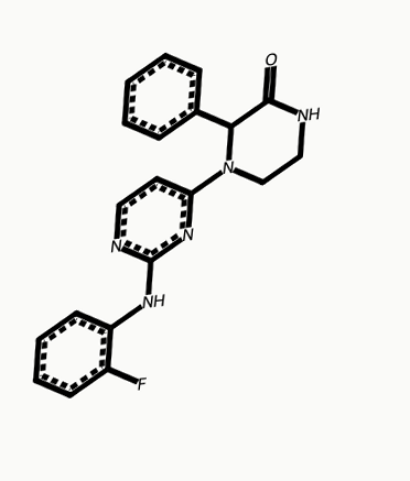 O=C1NCCN(c2ccnc(Nc3ccccc3F)n2)C1c1ccccc1